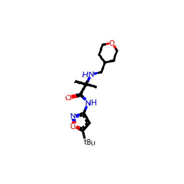 CC(C)(NCC1CCOCC1)C(=O)Nc1cc(C(C)(C)C)on1